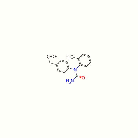 Cc1ccccc1N(C(N)=O)c1ccc(C[C]=O)cc1